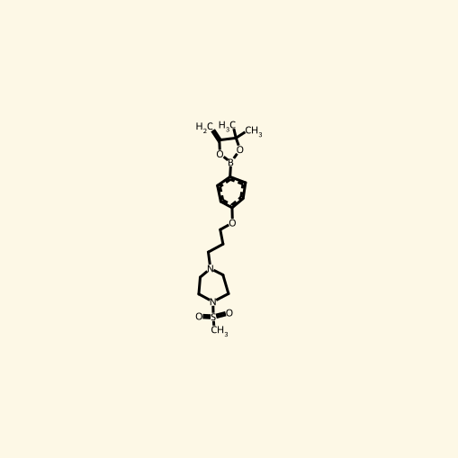 C=C1OB(c2ccc(OCCCN3CCN(S(C)(=O)=O)CC3)cc2)OC1(C)C